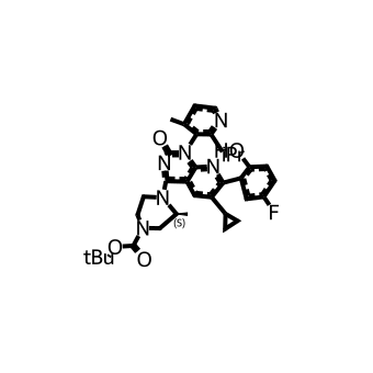 Cc1ccnc(C(C)C)c1-n1c(=O)nc(N2CCN(C(=O)OC(C)(C)C)C[C@@H]2C)c2cc(C3CC3)c(-c3cc(F)ccc3O)nc21